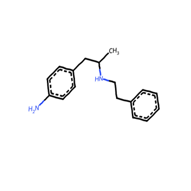 CC(Cc1ccc(N)cc1)NCCc1ccccc1